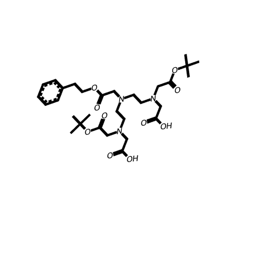 CC(C)(C)OC(=O)CN(CCN(CCN(CC(=O)O)CC(=O)OC(C)(C)C)CC(=O)OCCc1ccccc1)CC(=O)O